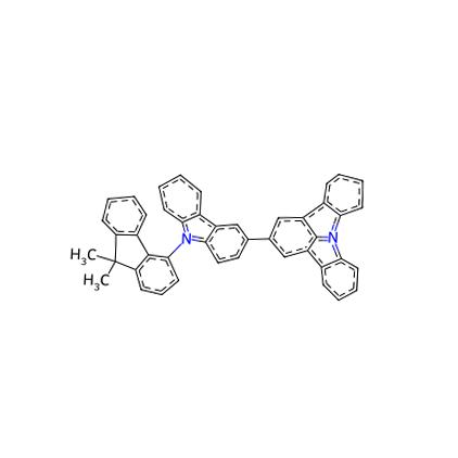 CC1(C)c2ccccc2-c2c(-n3c4ccccc4c4cc(-c5cc6c7ccccc7n7c8ccccc8c(c5)c67)ccc43)cccc21